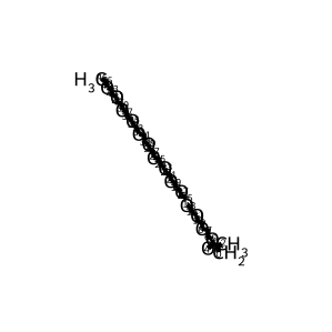 C=C(C)C(=O)OCCOCCOCCOCCOCCOCCOCCOCCOCCOCCOCCOCCOCCOCC